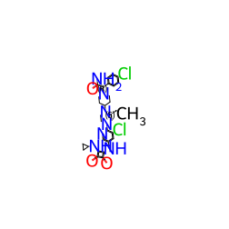 CC[C@H]1CN(c2ncc(Nc3c(NC4CC4)c(=O)c3=O)cc2Cl)CCN1C1CCN([C@@H](C(N)=O)c2ccc(Cl)cc2)CC1